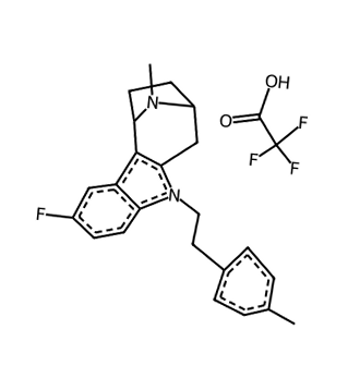 Cc1ccc(CCn2c3c(c4cc(F)ccc42)C2CCC(C3)N2C)cc1.O=C(O)C(F)(F)F